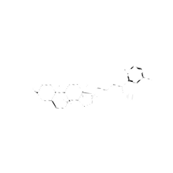 CC[C@]1(O)CC[C@@]2(C)C(=CC[C@@H]3C2CC[C@@]2(C)C3CC[C@@H]2CCCC(O)c2cc(C)ccn2)C1